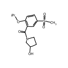 CC(C)Oc1ccc(S(C)(=O)=O)cc1C(=O)N1CCC(O)C1